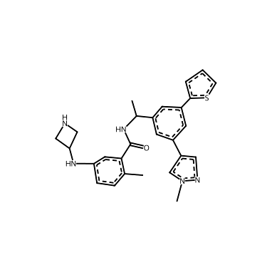 Cc1ccc(NC2CNC2)cc1C(=O)NC(C)c1cc(-c2cnn(C)c2)cc(-c2cccs2)c1